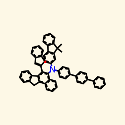 CC1(C)c2ccccc2-c2ccc(N(c3ccc(-c4ccc(-c5ccccc5)cc4)cc3)c3c(C4=Cc5ccccc5C4)c4c(c5ccccc35)Cc3ccccc3-4)cc21